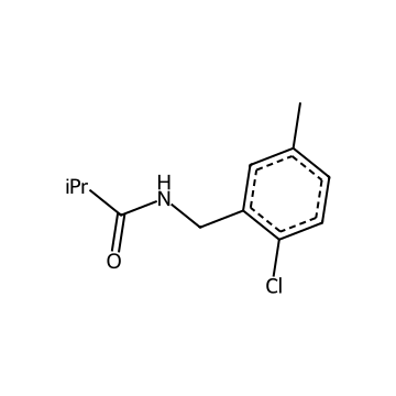 Cc1ccc(Cl)c(CNC(=O)C(C)C)c1